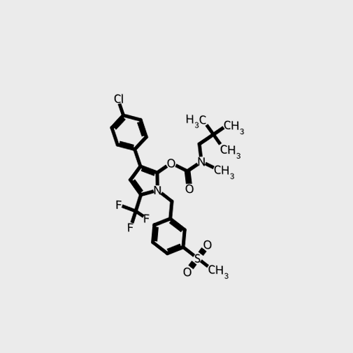 CN(CC(C)(C)C)C(=O)Oc1c(-c2ccc(Cl)cc2)cc(C(F)(F)F)n1Cc1cccc(S(C)(=O)=O)c1